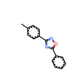 Cc1ccc(-c2noc(-c3ccccc3)n2)cc1